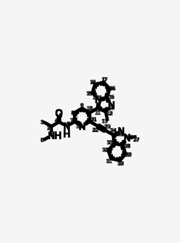 CNC(C)C(=O)Nc1ccc(-c2c(C)nc3ccccn23)c(C#Cc2nn(C)c3ccccc23)n1